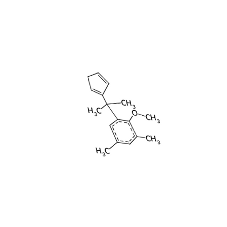 COc1c(C)cc(C)cc1C(C)(C)C1=CCC=C1